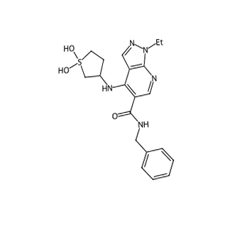 CCn1ncc2c(NC3CCS(O)(O)C3)c(C(=O)NCc3ccccc3)cnc21